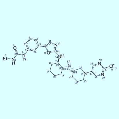 CCNC(=O)Nc1cccc(-c2cnc(N[C@@H]3CCCC[C@H]3N[C@H]3CCCN(c4cnc(C(F)(F)F)nc4)C3)o2)c1